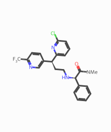 CNC(=O)[C@H](NCC[C@@H](c1ccc(C(F)(F)F)nc1)c1cccc(Cl)n1)c1ccccc1